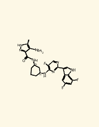 Cc1[nH]nc(C(=O)N[C@@H]2CCC[C@H](Nc3nc(-c4c[nH]c5c(F)cc(F)cc45)ncc3F)C2)c1N